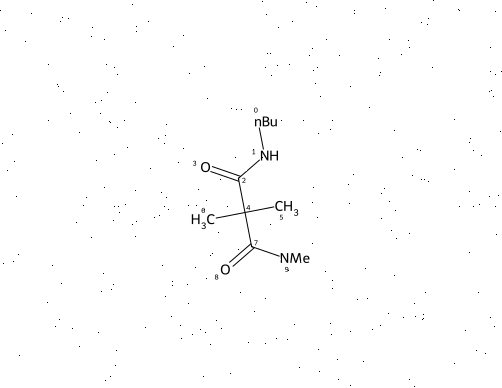 CCCCNC(=O)C(C)(C)C(=O)NC